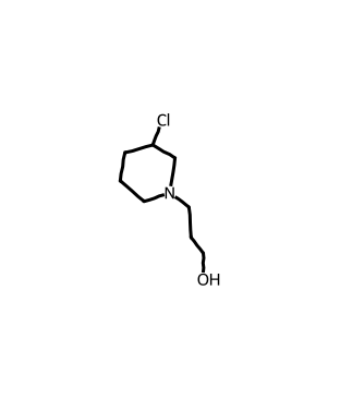 OCCCN1CCCC(Cl)C1